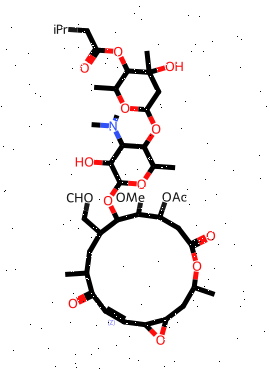 COC1C(OC(C)=O)CC(=O)OC(C)CC2OC2/C=C\C(=O)C(C)CC(CC=O)C1OC1OC(C)C(OC2CC(C)(O)C(OC(=O)CC(C)C)C(C)O2)C(N(C)C)C1O